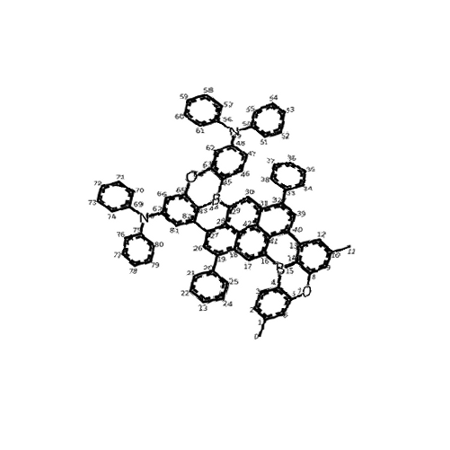 Cc1ccc2c(c1)Oc1cc(C)cc3c1B2c1cc2c(-c4ccccc4)cc4c5c(cc6c(-c7ccccc7)cc-3c1c6c25)B1c2ccc(N(c3ccccc3)c3ccccc3)cc2Oc2cc(N(c3ccccc3)c3ccccc3)cc-4c21